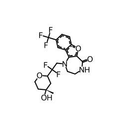 C[C@@]1(O)CCOC(C(F)(F)CN2CCNC(=O)c3oc4ccc(C(F)(F)F)cc4c32)C1